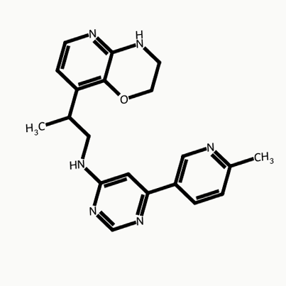 Cc1ccc(-c2cc(NCC(C)c3ccnc4c3OCCN4)ncn2)cn1